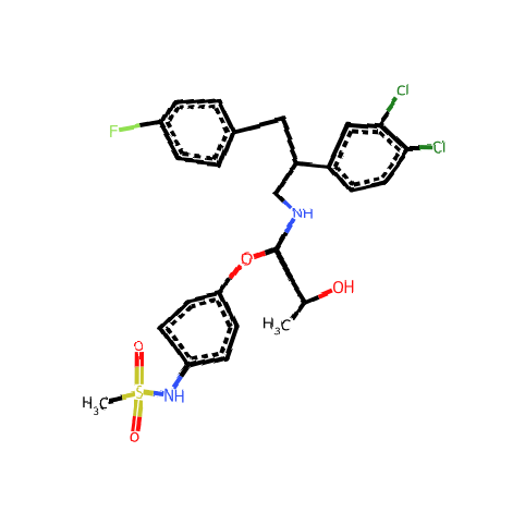 CC(O)C(NCC(Cc1ccc(F)cc1)c1ccc(Cl)c(Cl)c1)Oc1ccc(NS(C)(=O)=O)cc1